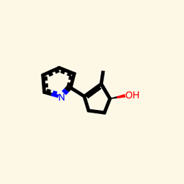 CC1=C(c2ccccn2)CC[C@@H]1O